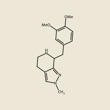 COc1ccc(CC2NCCc3cn(C)nc32)cc1OC